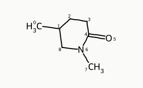 CC1CCC(=O)N(C)C1